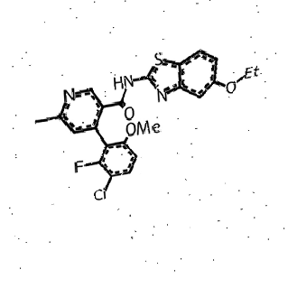 CCOc1ccc2sc(NC(=O)c3cnc(C)cc3-c3c(OC)ccc(Cl)c3F)nc2c1